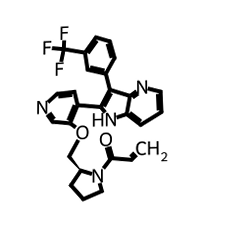 C=CC(=O)N1CCC[C@H]1COc1cnccc1-c1[nH]c2cccnc2c1-c1cccc(C(F)(F)F)c1